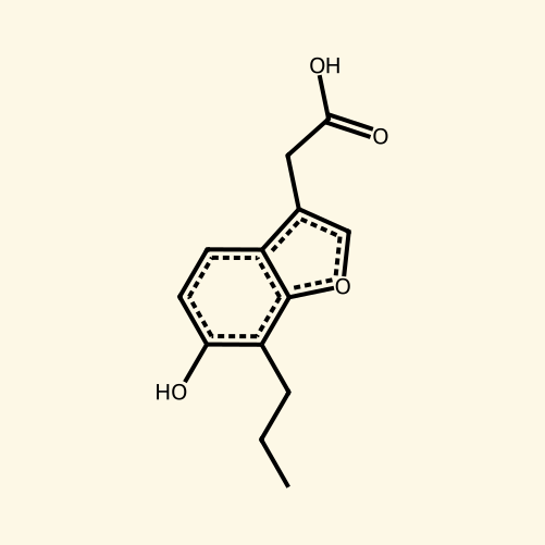 CCCc1c(O)ccc2c(CC(=O)O)coc12